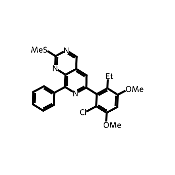 CCc1c(OC)cc(OC)c(Cl)c1-c1cc2cnc(SC)nc2c(-c2ccccc2)n1